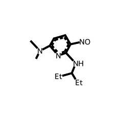 CCC(CC)Nc1nc(N(C)C)ccc1N=O